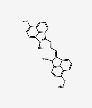 CCCCCc1ccc2c3c(cccc13)C(/C=C/C=c1/c3cccc4c(OCCCC)ccc(c43)n1CCCC)=[N+]2CCCC